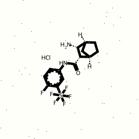 Cl.N[C@@H]1[C@H]2CC[C@H](C2)[C@@H]1C(=O)Nc1ccc(F)c(S(F)(F)(F)(F)F)c1